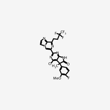 COc1cc(C2(C)C(=O)Nc3nc(-c4cn5ccnc5c(CCC(F)(F)C(F)(F)F)n4)nc(Cl)c32)ccc1F